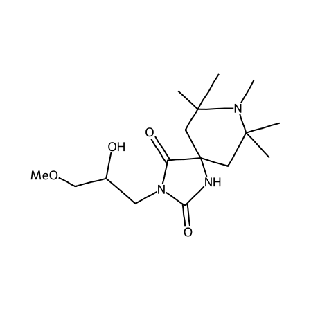 COCC(O)CN1C(=O)NC2(CC(C)(C)N(C)C(C)(C)C2)C1=O